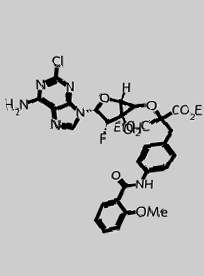 CCOC(=O)C(Cc1ccc(NC(=O)c2ccccc2OC)cc1)(OC1[C@H]2O[C@@H](n3cnc4c(N)nc(Cl)nc43)[C@@H](F)[C@@]12O)C(=O)OCC